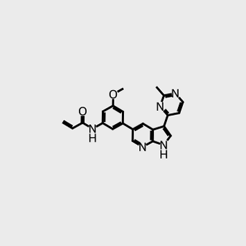 C=CC(=O)Nc1cc(OC)cc(-c2cnc3[nH]cc(-c4ccnc(C)n4)c3c2)c1